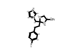 CCCC1COC(CCc2ccc(F)cc2)(Cn2ccnc2)O1